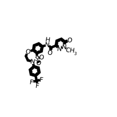 Cn1nc(C(=O)Nc2ccc3c(c2)S(=O)(=O)N(c2ccc(C(F)(F)F)cc2)CCO3)ccc1=O